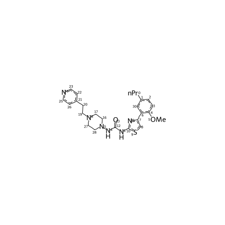 CCCc1ccc(OC)c(-c2csc(NC(=O)NN3CCN(CCc4ccncc4)CC3)n2)c1